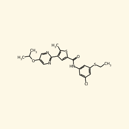 CCSc1cc(Cl)cc(NC(=O)c2cc(-c3ncc(OC(C)C)cn3)c(C)s2)c1